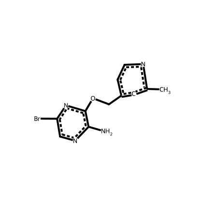 Cc1cc(COc2nc(Br)cnc2N)ccn1